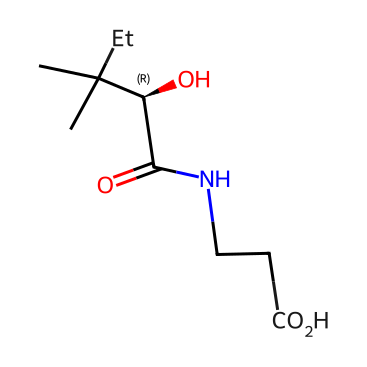 CCC(C)(C)[C@@H](O)C(=O)NCCC(=O)O